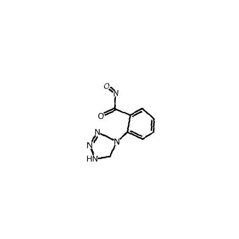 O=NC(=O)c1ccccc1N1CNN=N1